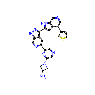 NC1CN(c2cncc(-c3cc4c(-c5cc6c(-c7ccsc7)cncc6[nH]5)n[nH]c4cn3)n2)C1